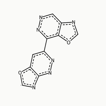 [c]1nc2nnc(-c3nncc4ncoc34)cc2o1